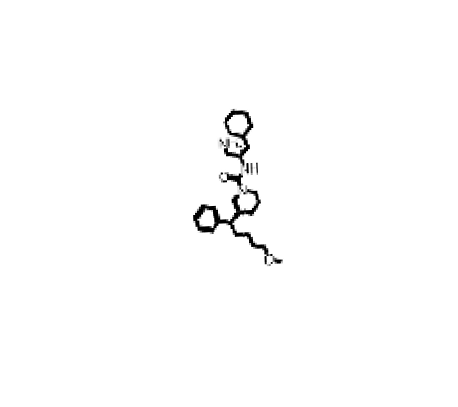 COCCCCC(c1ccccc1)C1CCCN(C(=O)NC(CN)CC2CCCCC2)C1